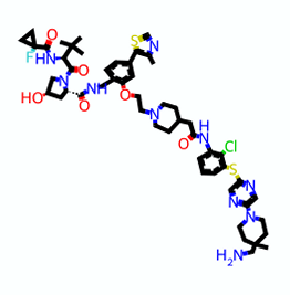 Cc1ncsc1-c1ccc(CNC(=O)[C@@H]2C[C@@H](O)CN2C(=O)[C@@H](NC(=O)C2(F)CC2)C(C)(C)C)c(OCCN2CCC(CC(=O)Nc3cccc(Sc4cnc(N5CCC(C)(CN)CC5)cn4)c3Cl)CC2)c1